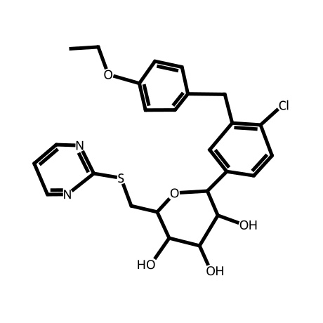 CCOc1ccc(Cc2cc(C3OC(CSc4ncccn4)C(O)C(O)C3O)ccc2Cl)cc1